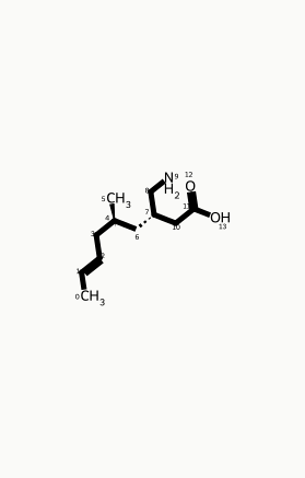 C/C=C/C[C@@H](C)C[C@H](CN)CC(=O)O